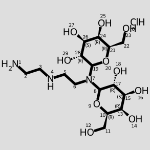 Cl.NCCNCCN(C1O[C@H](CO)[C@H](O)[C@H](O)[C@H]1O)C1O[C@H](CO)[C@H](O)[C@H](O)[C@H]1O